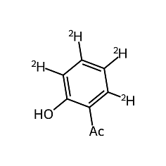 [2H]c1c([2H])c([2H])c(C(C)=O)c(O)c1[2H]